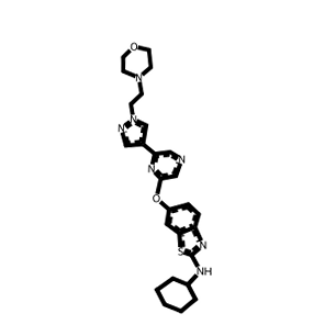 c1cc2nc(NC3CCCCC3)sc2cc1Oc1cncc(-c2cnn(CCN3CCOCC3)c2)n1